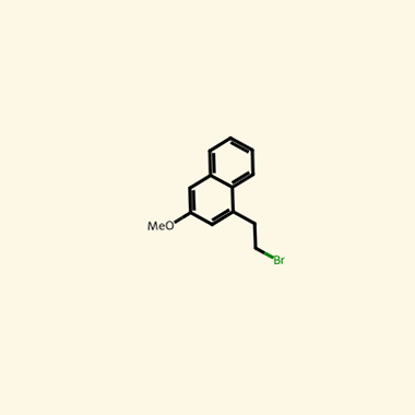 COc1cc(CCBr)c2ccccc2c1